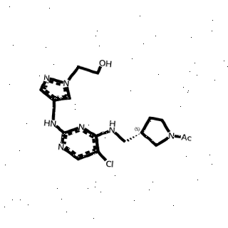 CC(=O)N1CC[C@@H](CNc2nc(Nc3cnn(CCO)c3)ncc2Cl)C1